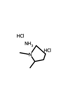 CC1CCCN1C.Cl.Cl.N